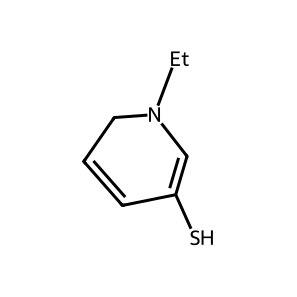 CCN1C=C(S)C=CC1